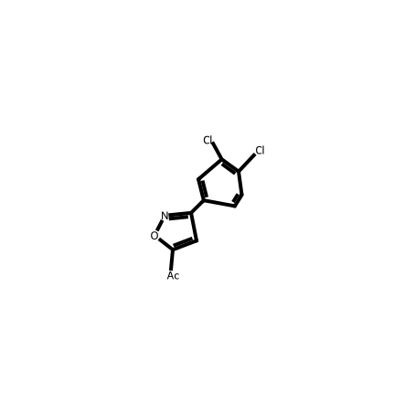 CC(=O)c1cc(-c2ccc(Cl)c(Cl)c2)no1